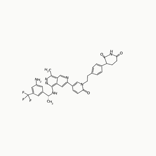 Cc1nnc(N[C@H](C)c2cc(N)cc(C(F)(F)F)c2)c2cc(-c3ccc(=O)n(CCc4ccc(C5CCC(=O)NC5=O)cc4)c3)ncc12